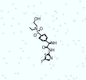 CCN(CCO)S(=O)(=O)c1ccc(C(=N)C(=O)Nc2ncc(F)s2)cc1